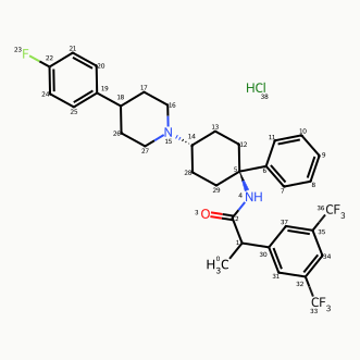 CC(C(=O)N[C@]1(c2ccccc2)CC[C@@H](N2CCC(c3ccc(F)cc3)CC2)CC1)c1cc(C(F)(F)F)cc(C(F)(F)F)c1.Cl